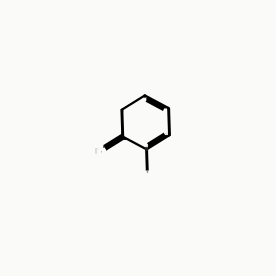 N=C1CC=CC=C1O.[Zr]